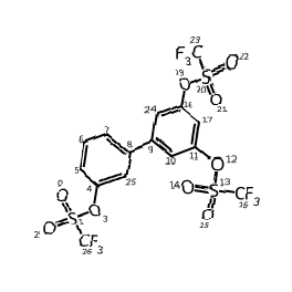 O=S(=O)(Oc1cccc(-c2cc(OS(=O)(=O)C(F)(F)F)cc(OS(=O)(=O)C(F)(F)F)c2)c1)C(F)(F)F